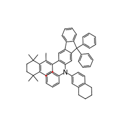 Cc1c(-c2cc3c(cc2N(c2ccccc2)c2ccc4c(c2)CCCC4)C(c2ccccc2)(c2ccccc2)c2ccccc2-3)ccc2c1C(C)(C)CCC2(C)C